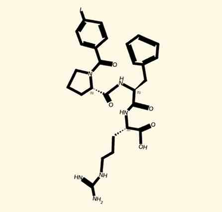 N=C(N)NCCC[C@H](NC(=O)[C@H](Cc1ccccc1)NC(=O)[C@@H]1CCCN1C(=O)c1ccc(I)cc1)C(=O)O